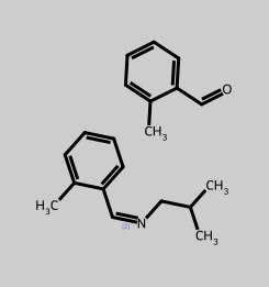 Cc1ccccc1/C=N\CC(C)C.Cc1ccccc1C=O